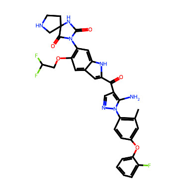 Cc1cc(Oc2ccccc2F)ccc1-n1ncc(C(=O)c2cc3cc(OCC(F)F)c(N4C(=O)NC5(CCNC5)C4=O)cc3[nH]2)c1N